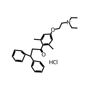 CCN(CC)CCOc1cc(C)c(C(=O)CC(c2ccccc2)c2ccccc2)c(C)c1.Cl